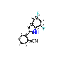 N#Cc1ccccc1-c1cc2cc(F)cc(F)c2[nH]1